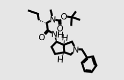 CCC[C@@H](C(=O)N[C@@H]1CC[C@@H]2CN(Cc3ccccc3)C[C@@H]21)N(C)C(=O)OC(C)(C)C